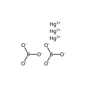 [Hg+2].[Hg+2].[Hg+2].[O-]B([O-])[O-].[O-]B([O-])[O-]